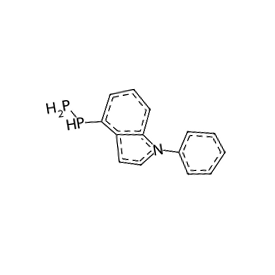 PPc1cccc2c1ccn2-c1ccccc1